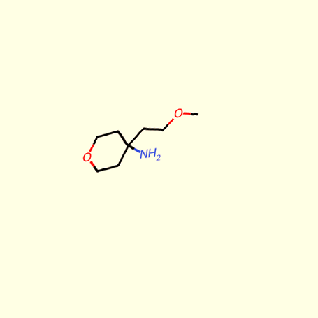 COCCC1(N)CCOCC1